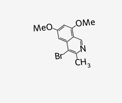 COc1cc(OC)c2cnc(C)c(Br)c2c1